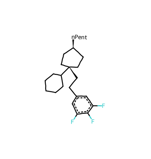 CCCCC[C@H]1CC[C@](CCc2cc(F)c(F)c(F)c2)(C2CCCCC2)CC1